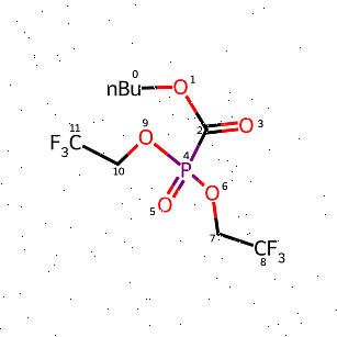 CCCCOC(=O)P(=O)(OCC(F)(F)F)OCC(F)(F)F